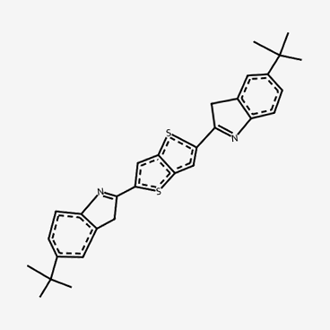 CC(C)(C)c1ccc2c(c1)CC(c1cc3sc(C4=Nc5ccc(C(C)(C)C)cc5C4)cc3s1)=N2